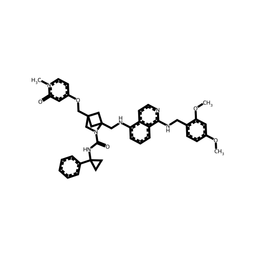 COc1ccc(CNc2nccc3c(NCC45CC(COc6ccn(C)c(=O)c6)(CN4C(=O)NC4(c6ccccc6)CC4)C5)cccc23)c(OC)c1